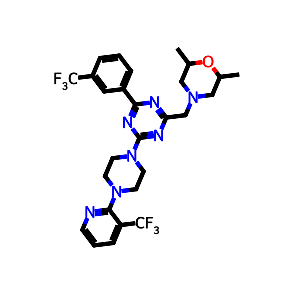 CC1CN(Cc2nc(-c3cccc(C(F)(F)F)c3)nc(N3CCN(c4ncccc4C(F)(F)F)CC3)n2)CC(C)O1